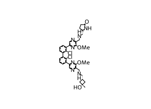 COc1nc(-c2cccc(-c3cccc(-c4cnc(CNC[C@H]5C[C@@](C)(O)C5)c(OC)n4)c3Cl)c2Cl)cnc1CNC[C@@H]1CCC(=O)N1